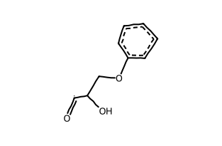 O=[C]C(O)COc1ccccc1